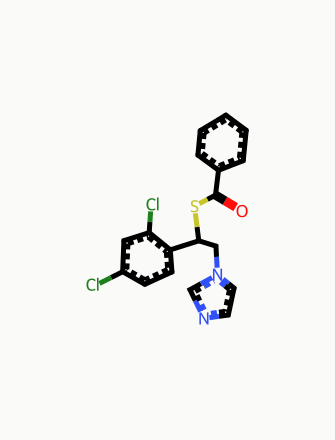 O=C(SC(Cn1ccnc1)c1ccc(Cl)cc1Cl)c1ccccc1